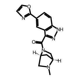 CN1C[C@@H]2C[C@H]1CN2C(=O)c1n[nH]c2ccc(-c3ncco3)cc12